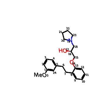 COc1cccc(CCc2ccccc2OC[C@@H](O)CN2CCCC2)c1